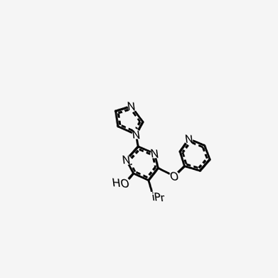 CC(C)c1c(O)nc(-n2ccnc2)nc1Oc1cccnc1